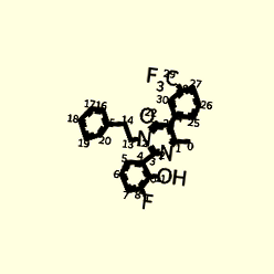 Cc1nc(-c2cccc(F)c2O)n(CCc2ccccc2)c(=O)c1-c1cccc(C(F)(F)F)c1